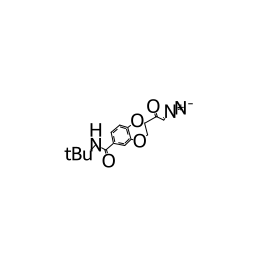 CC(C)(C)NC(=O)c1ccc2c(c1)OCC(C(=O)C=[N+]=[N-])O2